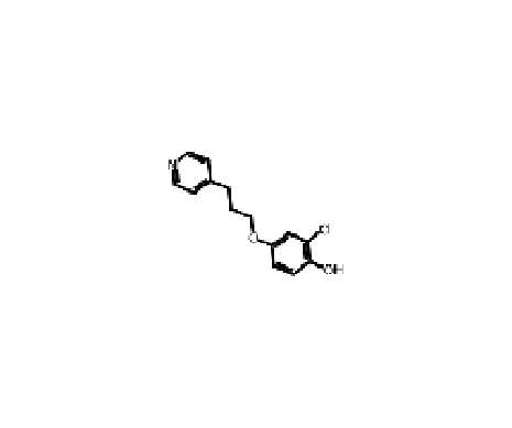 Oc1ccc(OCCCc2ccncc2)cc1Cl